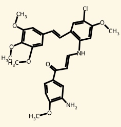 COc1ccc(C(=O)C=CNc2cc(OC)c(Cl)cc2C=Cc2cc(OC)c(OC)c(OC)c2)cc1N